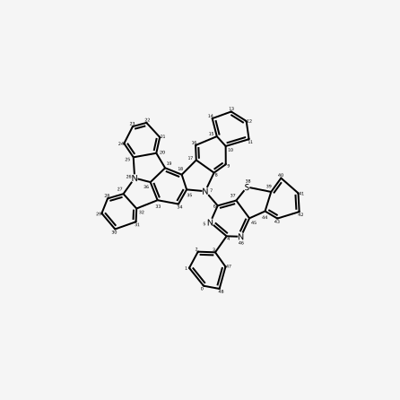 c1ccc(-c2nc(-n3c4cc5ccccc5cc4c4c5c6ccccc6n6c7ccccc7c(cc43)c56)c3sc4ccccc4c3n2)cc1